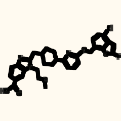 COCCn1c(CC2CCC(c3cccc(OCc4ccc(Cl)c5cc(F)oc45)n3)CC2)nc2ccc(C(=O)O)cc21